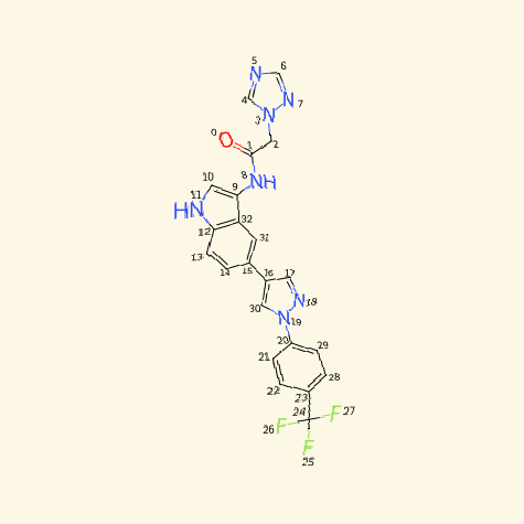 O=C(Cn1cncn1)Nc1c[nH]c2ccc(-c3cnn(-c4ccc(C(F)(F)F)cc4)c3)cc12